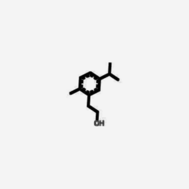 Cc1ccc(C(C)C)cc1CCO